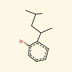 CC(C)CC(C)c1ccccc1Br